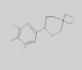 COc1cc(C2CCC3(CC2)CNC3)cc(F)c1C